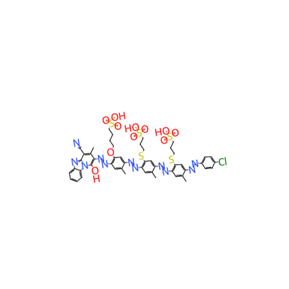 Cc1cc(N=Nc2cc(SCCCS(=O)(=O)O)c(N=Nc3cc(OCCCCS(=O)(=O)O)c(N=Nc4c(C)c(C#N)c5nc6ccccc6n5c4O)cc3C)cc2C)c(SCCCS(=O)(=O)O)cc1N=Nc1ccc(Cl)cc1